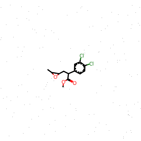 COC(=O)C(CC1OC1C)c1ccc(Cl)c(Cl)c1